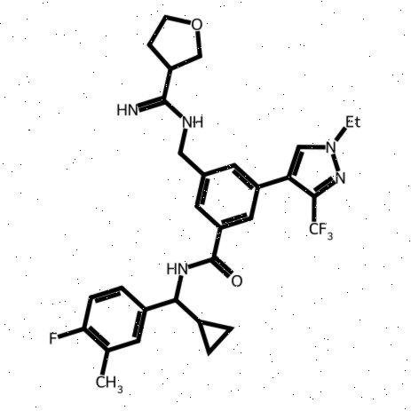 CCn1cc(-c2cc(CNC(=N)C3CCOC3)cc(C(=O)NC(c3ccc(F)c(C)c3)C3CC3)c2)c(C(F)(F)F)n1